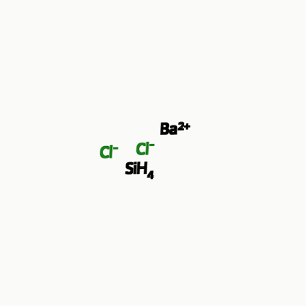 [Ba+2].[Cl-].[Cl-].[SiH4]